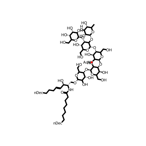 CCCCCCCCCCCCC/C=C/[C@@H](O)[C@H](CO[C@@H]1OC(CO)[C@@H](O[C@@H]2OC(CO)[C@H](O)[C@H](O[C@@H]3OC(CO)[C@@H](O[C@@H]4OC(CO)[C@H](O)[C@H](O[C@H]5OC(CO)[C@H](O)[C@H](O)C5O)C4O[C@H]4OC(C)[C@@H](O)C(O)[C@@H]4O)[C@H](O)C3NC(C)=O)C2O)[C@H](O)C1O)NC(=O)CCCCCCCCCCCCCCCCC